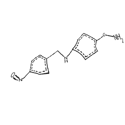 NOc1ccc(NCc2ccc(N=O)cc2)cc1